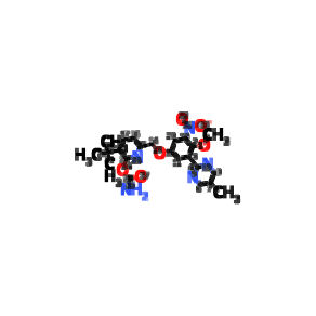 COc1c(-c2ncc(C)cn2)cc(OCc2ccc(C(C)(C)C)c(OC(N)=O)n2)cc1[N+](=O)[O-]